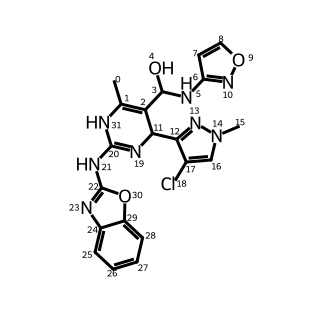 CC1=C(C(O)Nc2ccon2)C(c2nn(C)cc2Cl)N=C(Nc2nc3ccccc3o2)N1